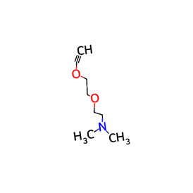 C#COCCOCCN(C)C